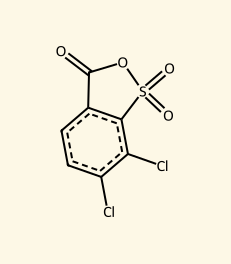 O=C1OS(=O)(=O)c2c1ccc(Cl)c2Cl